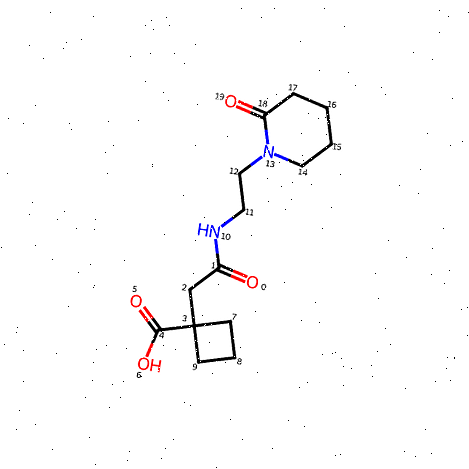 O=C(CC1(C(=O)O)CCC1)NCCN1CCCCC1=O